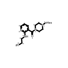 CCCCCCN1CCN(C(=O)c2cccnc2NCCC(C)C)CC1